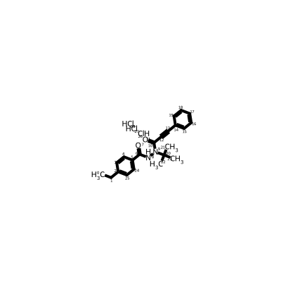 CCc1ccc(C(=O)NN(C(=O)C#Cc2ccccc2)C(C)(C)C)cc1.Cl.Cl.Cl